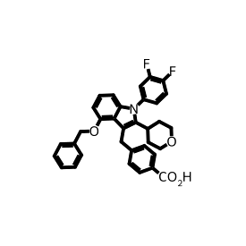 O=C(O)c1ccc(Cc2c(C3CCOCC3)n(-c3ccc(F)c(F)c3)c3cccc(OCc4ccccc4)c23)cc1